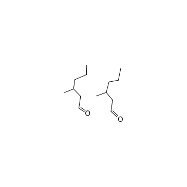 CCCC(C)CC=O.CCCC(C)CC=O